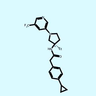 CC[C@@]1(NC(=O)Cc2ccc(C3CC3)cc2)CCN(c2cncc(C(F)(F)F)c2)C1